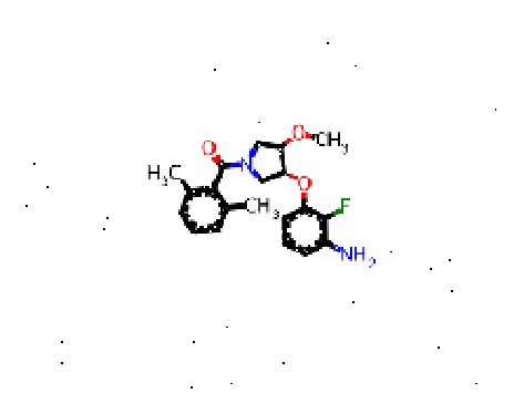 COC1CN(C(=O)c2c(C)cccc2C)C[C@@H]1Oc1cccc(N)c1F